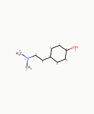 CN(C)C[CH]C1CCC(O)CC1